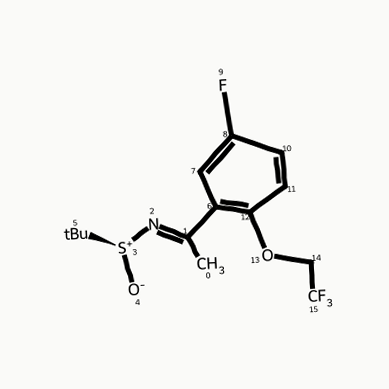 C/C(=N\[S@@+]([O-])C(C)(C)C)c1cc(F)ccc1OCC(F)(F)F